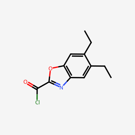 CCc1cc2nc(C(=O)Cl)oc2cc1CC